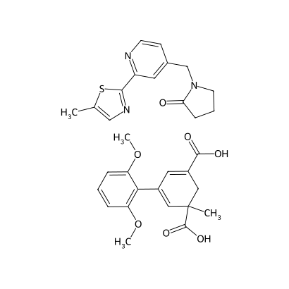 COc1cccc(OC)c1C1=CC(C)(C(=O)O)CC(C(=O)O)=C1.Cc1cnc(-c2cc(CN3CCCC3=O)ccn2)s1